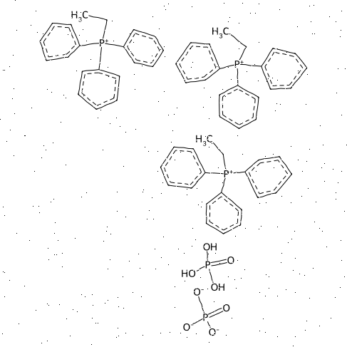 CC[P+](c1ccccc1)(c1ccccc1)c1ccccc1.CC[P+](c1ccccc1)(c1ccccc1)c1ccccc1.CC[P+](c1ccccc1)(c1ccccc1)c1ccccc1.O=P(O)(O)O.O=P([O-])([O-])[O-]